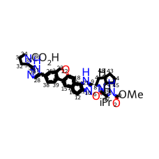 COC(=O)N[C@H](C(=O)N1[C@H](c2nc3ccc4cc5c(cc4c3[nH]2)OCc2cc(-c3cnc(C4CCCN4C(=O)O)[nH]3)ccc2-5)C[C@@H]2CCC[C@@H]21)C(C)C